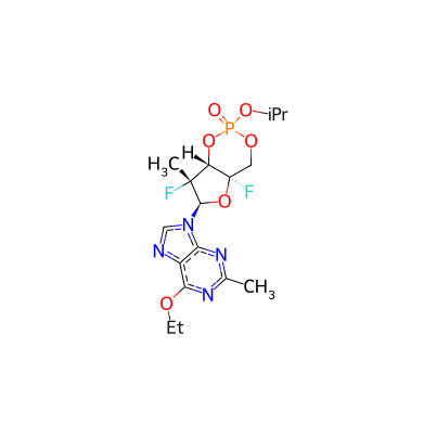 CCOc1nc(C)nc2c1ncn2[C@@H]1O[C@]2(F)COP(=O)(OC(C)C)O[C@H]2[C@@]1(C)F